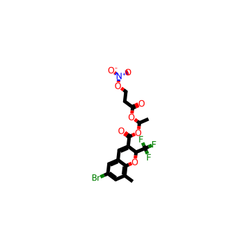 Cc1cc(Br)cc2c1OC(C(F)(F)F)C(C(=O)OC(C)OC(=O)CCO[N+](=O)[O-])=C2